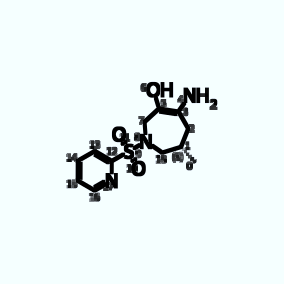 C[C@H]1CC(N)=C(O)CN(S(=O)(=O)c2ccccn2)C1